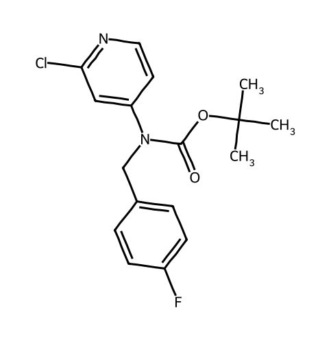 CC(C)(C)OC(=O)N(Cc1ccc(F)cc1)c1ccnc(Cl)c1